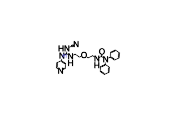 N#CN/C(=N/c1ccncc1)NCCOCCNC(=O)N(c1ccccc1)c1ccccc1